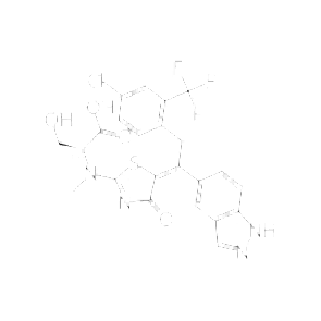 CN(C1=NC(=O)C(=C(Cc2ccc(Cl)cc2C(F)(F)F)c2ccc3[nH]ncc3c2)S1)[C@@H](CO)C(=O)O